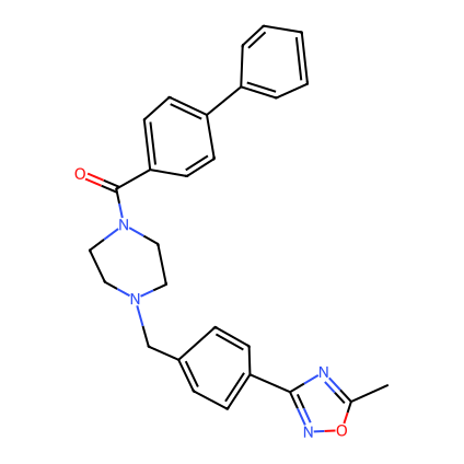 Cc1nc(-c2ccc(CN3CCN(C(=O)c4ccc(-c5ccccc5)cc4)CC3)cc2)no1